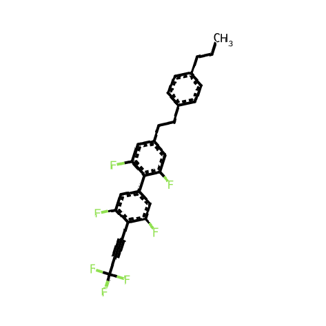 CCCc1ccc(CCc2cc(F)c(-c3cc(F)c(C#CC(F)(F)F)c(F)c3)c(F)c2)cc1